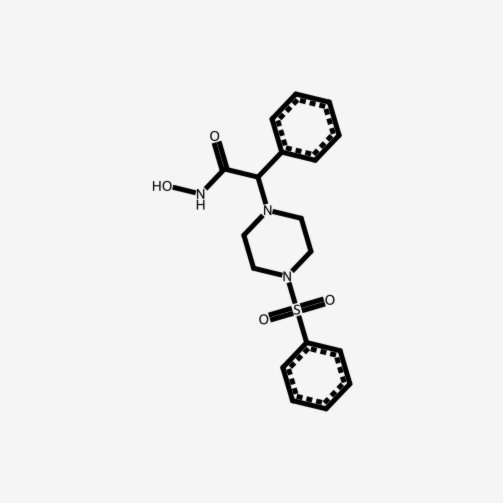 O=C(NO)C(c1ccccc1)N1CCN(S(=O)(=O)c2ccccc2)CC1